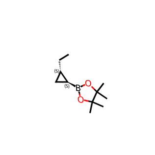 CC[C@H]1C[C@@H]1B1OC(C)(C)C(C)(C)O1